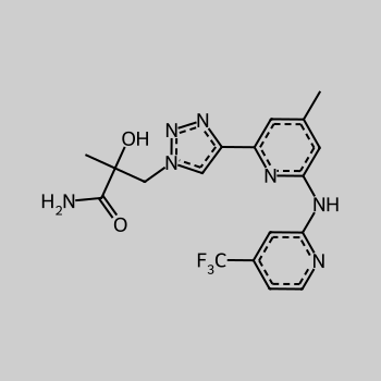 Cc1cc(Nc2cc(C(F)(F)F)ccn2)nc(-c2cn(CC(C)(O)C(N)=O)nn2)c1